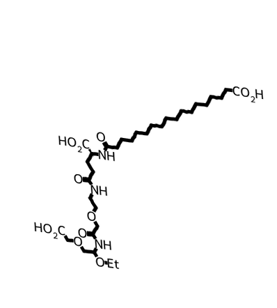 CCOC(COCC(=O)O)NC(=O)COCCNC(=O)CC[C@H](NC(=O)CCCCCCCCCCCCCCCCC(=O)O)C(=O)O